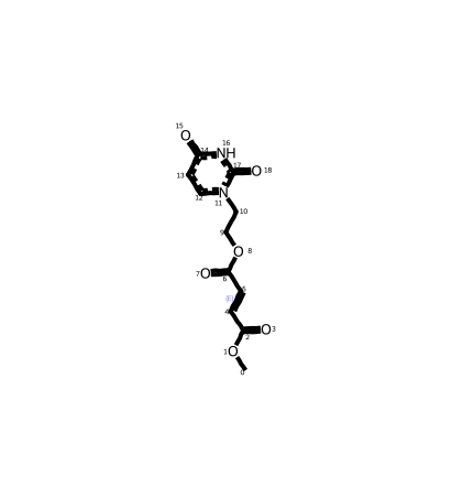 COC(=O)/C=C/C(=O)OCCn1ccc(=O)[nH]c1=O